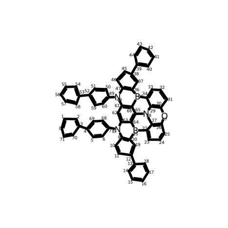 c1ccc(-c2ccc(N3c4ccc(-c5ccccc5)cc4B4c5cccc6c5N5c7c(cccc7B7c8cc(-c9ccccc9)ccc8N(c8ccc(-c9ccccc9)cc8)c8cc3c4c5c87)O6)cc2)cc1